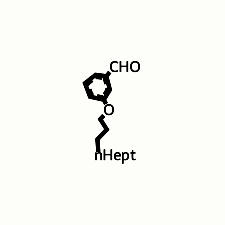 CCCCCCCCCCOc1cccc(C=O)c1